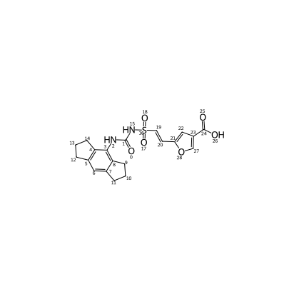 O=C(Nc1c2c(cc3c1CCC3)CCC2)NS(=O)(=O)C=Cc1cc(C(=O)O)co1